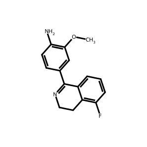 COc1cc(C2=NCCc3c(F)cccc32)ccc1N